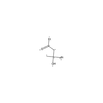 CCCC(C)(O)[CH]C(=O)CC